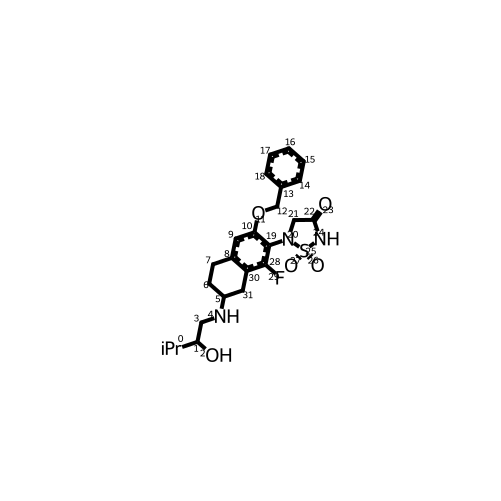 CC(C)C(O)CNC1CCc2cc(OCc3ccccc3)c(N3CC(=O)NS3(=O)=O)c(F)c2C1